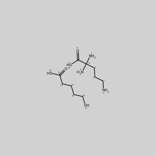 NCCCC(N)(N)C(=O)O.O=C(O)CCCCO